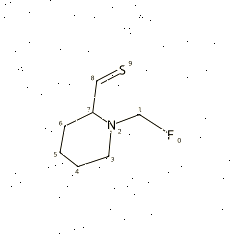 FCN1CCCCC1C=S